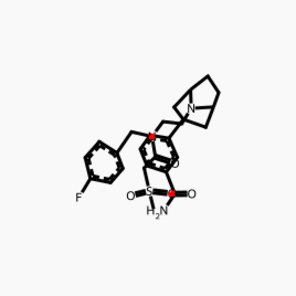 CS(=O)(=O)CC(=O)N(CCN1C2CCC1CC(c1cccc(C(N)=O)c1)C2)Cc1ccc(F)cc1